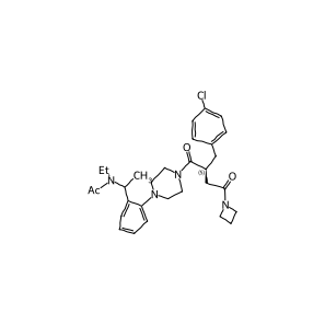 CCN(C(C)=O)C(C)c1ccccc1N1CCN(C(=O)[C@H](CC(=O)N2CCC2)Cc2ccc(Cl)cc2)CC1